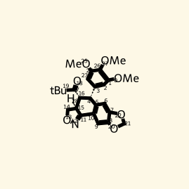 COc1cc([C@@H]2c3cc4c(cc3C3=NOC[C@H]3[C@@H]2C(=O)C(C)(C)C)OCO4)cc(OC)c1OC